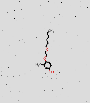 CCCCCCOCCOc1ccc(O)cc1C